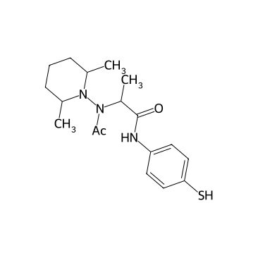 CC(=O)N(C(C)C(=O)Nc1ccc(S)cc1)N1C(C)CCCC1C